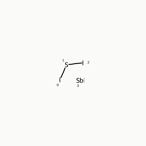 ISI.[Sb]